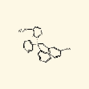 N#Cc1cccc(CC(c2cccnc2)(c2cccnc2)c2nccc(N)n2)c1